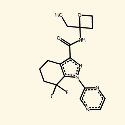 O=C(NC1(CO)CCO1)c1nn(-c2cnccn2)c2c1CCCC2(F)F